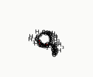 CO[C@H]1C[C@@H]2CC[C@@H](C)[C@@](O)(O2)C(=O)C(=O)N2CCCC[C@H]2C(=O)O[C@H]([C@H](C)C[C@@H]2CC[C@@H](OC(=O)NS(=O)(=O)N3CCOCC3)[C@H](OC)C2)CC(=O)[C@H](C)/C=C(\C)[C@@H](O)[C@@H](OC)C(=O)[C@H](C)C[C@H](C)/C=C/C=C/C=C/1C